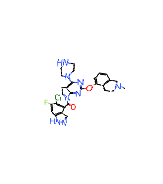 CN1CCc2c(cccc2Oc2nc(N3CCNCC3)c3c(n2)N(C(=O)c2c(Cl)c(F)cc4[nH]ncc24)CC3)C1